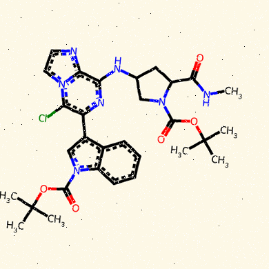 CNC(=O)C1CC(Nc2nc(-c3cn(C(=O)OC(C)(C)C)c4ccccc34)c(Cl)n3ccnc23)CN1C(=O)OC(C)(C)C